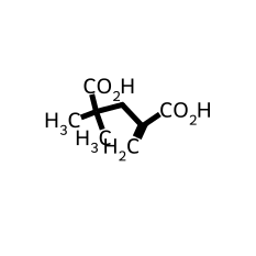 C=C(CC(C)(C)C(=O)O)C(=O)O